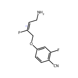 N#Cc1ccc(OC/C(F)=C\CN)cc1F